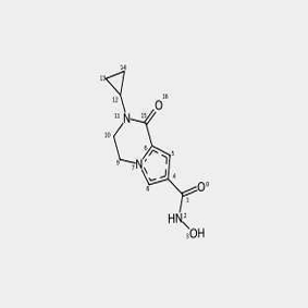 O=C(NO)c1cc2n(c1)CCN(C1CC1)C2=O